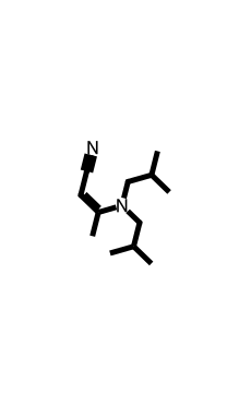 C/C(=C/C#N)N(CC(C)C)CC(C)C